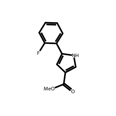 COC(=O)c1c[nH]c(-c2ccccc2F)c1